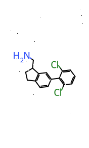 NCC1CCc2ccc(-c3c(Cl)cccc3Cl)cc21